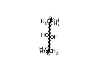 CC(C)(CCCCCC[C@@H](O)[C@H](O)CCCCCCC(C)(C)C(=O)O)C(=O)O